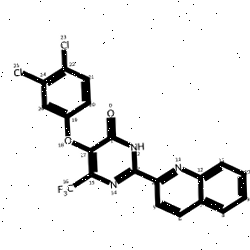 O=c1[nH]c(-c2ccc3ccccc3n2)nc(C(F)(F)F)c1Oc1ccc(Cl)c(Cl)c1